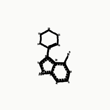 Fc1cccc2[nH]cc(C3=CCCCC3)c12